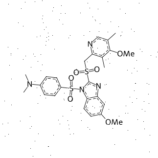 COc1ccc2c(c1)nc(S(=O)(=O)Cc1ncc(C)c(OC)c1C)n2S(=O)(=O)c1ccc(N(C)C)cc1